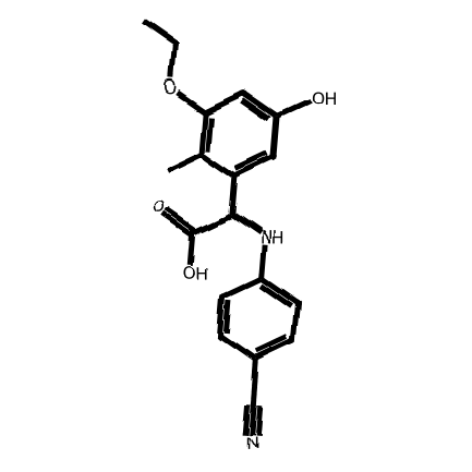 CCOc1cc(O)cc(C(Nc2ccc(C#N)cc2)C(=O)O)c1C